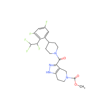 COC(=O)N1CCc2[nH]nc(C(=O)N3CCC(c4cc(F)cc(F)c4C(F)C(F)F)CC3)c2C1